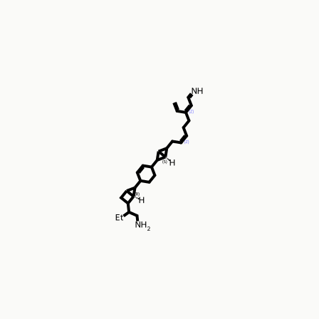 C=C/C(=C\C=N)CC/C=C\CC1C2C(C3C=CC(C4C5CC(C(CC)CN)[C@@H]54)CC3)[C@H]12